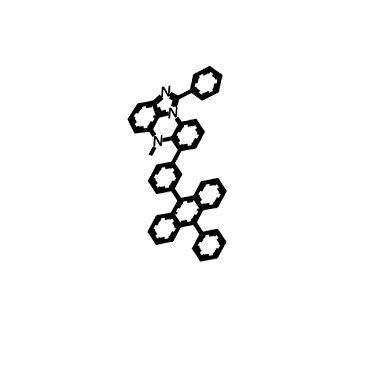 CN1c2c(-c3cccc(-c4c5ccccc5c(-c5ccccc5)c5ccccc45)c3)cccc2-n2c(-c3ccccc3)nc3cccc1c32